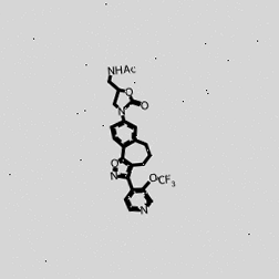 CC(=O)NCC1CN(c2ccc3c(c2)CCCc2c(-c4ccncc4OC(F)(F)F)noc2-3)C(=O)O1